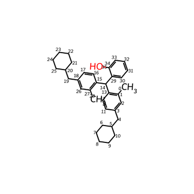 Cc1cc(CC2CCCCC2)ccc1C(c1ccc(CC2CCCCC2)cc1C)c1ccccc1O